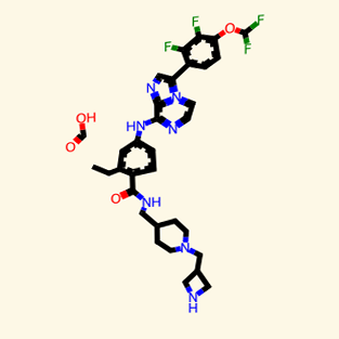 CCc1cc(Nc2nccn3c(-c4ccc(OC(F)F)c(F)c4F)cnc23)ccc1C(=O)NCC1CCN(CC2CNC2)CC1.O=CO